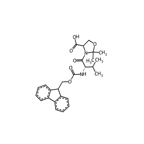 CC(C)[C@H](NC(=O)OCC1c2ccccc2-c2ccccc21)C(=O)N1C(C(=O)O)COC1(C)C